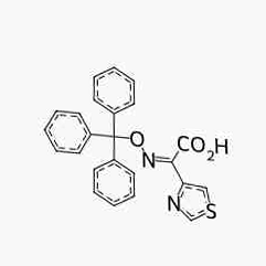 O=C(O)/C(=N\OC(c1ccccc1)(c1ccccc1)c1ccccc1)c1cscn1